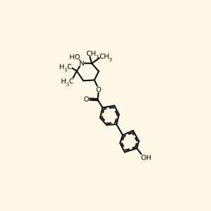 CC1(C)CC(OC(=O)c2ccc(-c3ccc(O)cc3)cc2)CC(C)(C)N1O